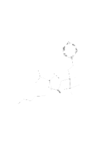 CCCCCN1C(=O)[C@H]([C@@](O)(CCc2ccccc2)C(C)(C)C)NC1C(C)C